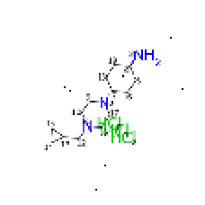 Cl.Cl.Cl.N[C@H]1CC[C@H](N2CCN(CC3CC3)CC2)CC1